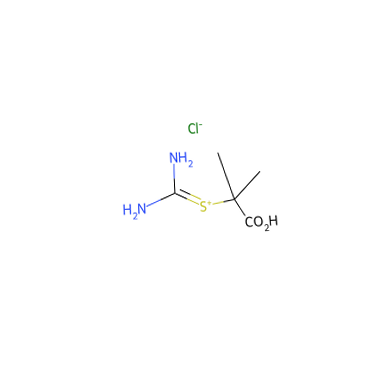 CC(C)([S+]=C(N)N)C(=O)O.[Cl-]